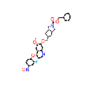 COc1cc2c(Oc3ccc(N=O)cc3F)ccnc2cc1OCC1CC2CN(C(=O)OCc3ccccc3)CC2C1